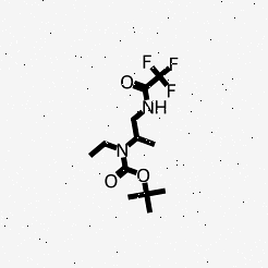 CCN(C(=O)OC(C)(C)C)C(C)CNC(=O)C(F)(F)F